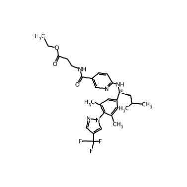 CCOC(=O)CCNC(=O)c1ccc(N[C@@H](CC(C)C)c2cc(C)c(-n3cc(C(F)(F)F)cn3)c(C)c2)nc1